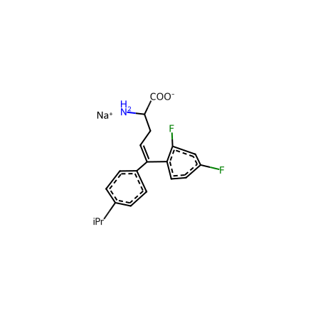 CC(C)c1ccc(/C(=C/CC(N)C(=O)[O-])c2ccc(F)cc2F)cc1.[Na+]